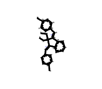 CCC1(CC)/C(=C/c2ccc(C)cc2)c2ccccc2/C1=C/c1ccc(C)cc1